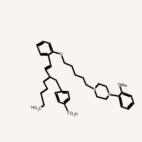 COc1ccccc1N1CCN(CCCCCOc2ccccc2/C=C/C(CCCCC(=O)O)Cc2ccc(C(=O)O)cc2)CC1